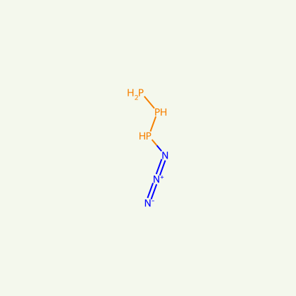 [N-]=[N+]=NPPP